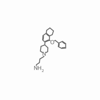 NCCCCN1CCC(c2ccc3c(c2OCc2ccccc2)CCCC3)CC1